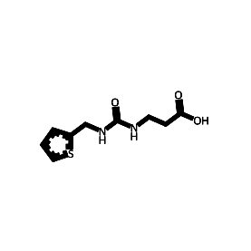 O=C(O)CCNC(=O)NCc1cccs1